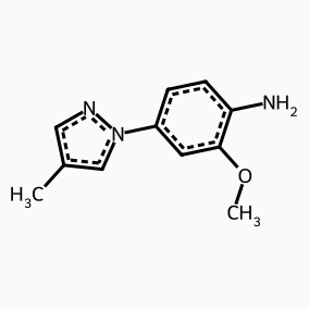 COc1cc(-n2cc(C)cn2)ccc1N